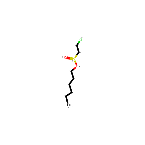 CCCCCCOS(=O)CCCl